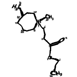 CCOC(=O)CC[N+]1(C)CCCC(C)C1